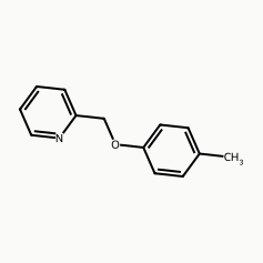 Cc1ccc(OCc2ccccn2)cc1